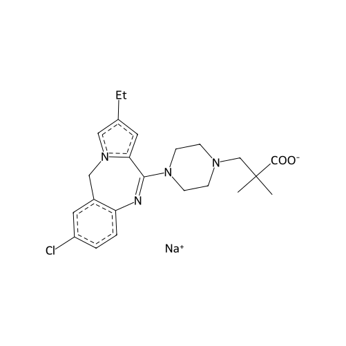 CCc1cc2n(c1)Cc1cc(Cl)ccc1N=C2N1CCN(CC(C)(C)C(=O)[O-])CC1.[Na+]